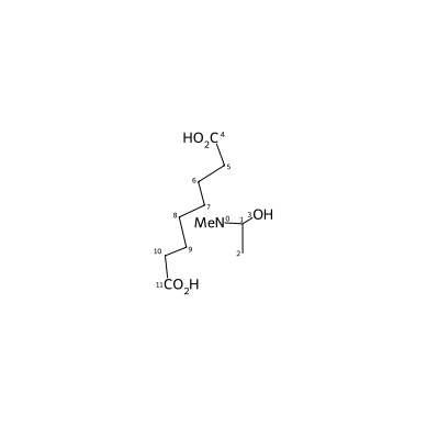 CNC(C)O.O=C(O)CCCCCCC(=O)O